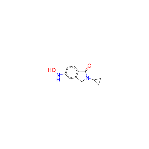 O=C1c2ccc(NO)cc2CN1C1CC1